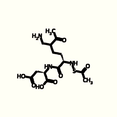 CC(=O)SN[C@@H](CCC(CN)C(C)=O)C(=O)N[C@@H](CC(=O)O)C(=O)O